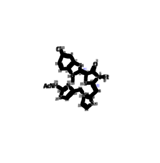 CCn1c(=O)/c(=C2\Sc3cc(Cl)ccc3N2C)s/c1=C\c1scc[n+]1Cc1csc(NC(C)=O)n1